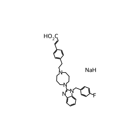 O=C(O)C=Cc1ccc(CCN2CCCN(c3nc4ccccc4n3Cc3ccc(F)cc3)CCC2)cc1.[NaH]